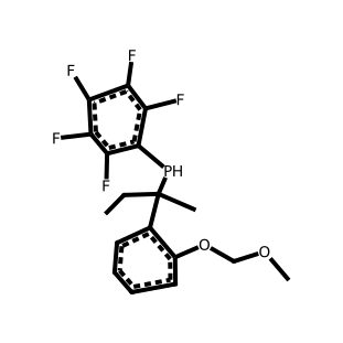 CCC(C)(Pc1c(F)c(F)c(F)c(F)c1F)c1ccccc1OCOC